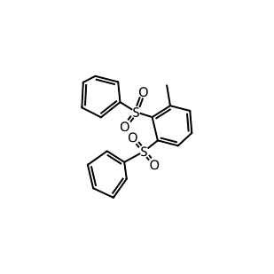 Cc1cccc(S(=O)(=O)c2ccccc2)c1S(=O)(=O)c1ccccc1